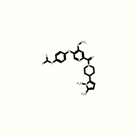 COc1cc(C(=O)N2CCC(c3ccc(N)n3C)CC2)ncc1Oc1ccc(OC(F)F)cc1